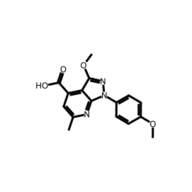 COc1ccc(-n2nc(OC)c3c(C(=O)O)cc(C)nc32)cc1